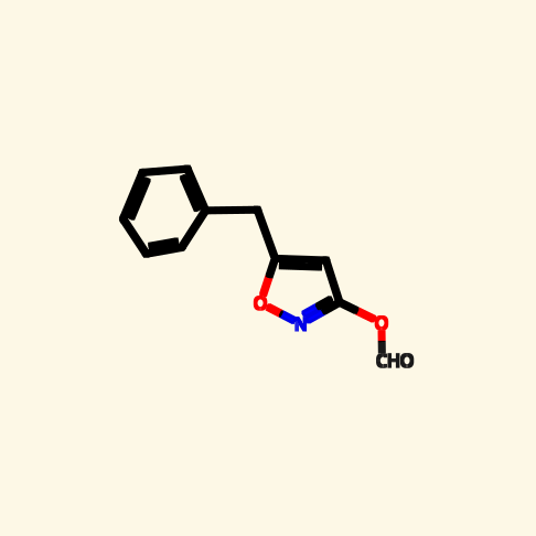 O=COc1cc(Cc2ccccc2)on1